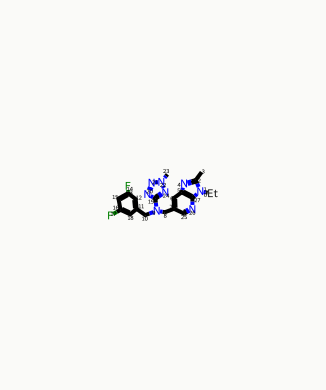 CCn1c(C)nc2cc(CN(Cc3cc(F)cc(F)c3)c3nnn(C)n3)[c]nc21